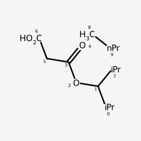 CC(C)C(OC(=O)CC(=O)O)C(C)C.CCCC